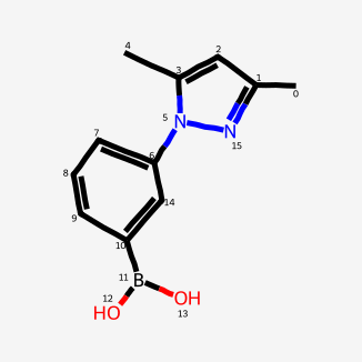 Cc1cc(C)n(-c2cccc(B(O)O)c2)n1